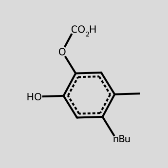 CCCCc1cc(O)c(OC(=O)O)cc1C